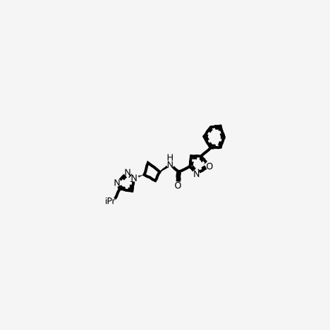 CC(C)c1cn([C@H]2C[C@H](NC(=O)c3cc(-c4ccccc4)on3)C2)nn1